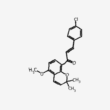 COc1ccc(C(=O)/C=C/c2ccc(Cl)cc2)c2c1C=CC(C)(C)O2